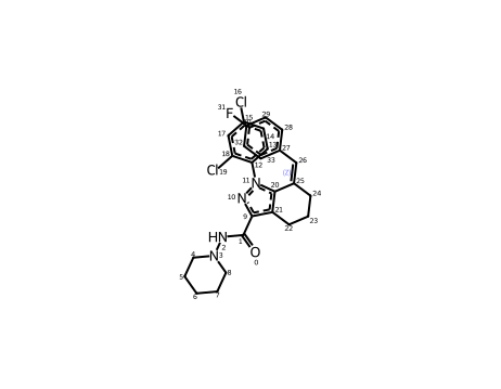 O=C(NN1CCCCC1)c1nn(-c2ccc(Cl)cc2Cl)c2c1CCC/C2=C/c1ccc(F)cc1